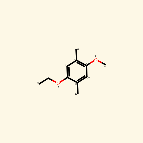 CCOc1cc(C)c(OC)cc1C